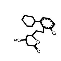 O=C1CC(O)CC(CCc2c(Cl)cccc2C2CCCCC2)O1